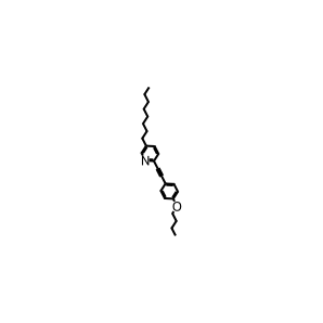 CCCCCCCCc1ccc(C#Cc2ccc(OCCCC)cc2)nc1